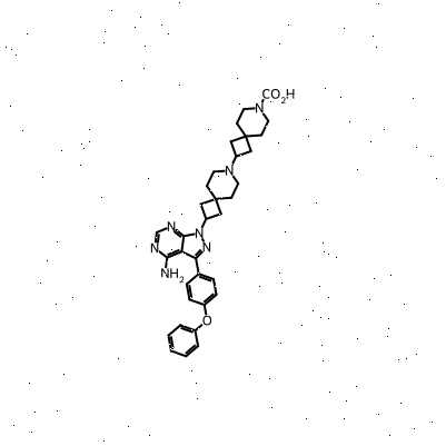 Nc1ncnc2c1c(-c1ccc(Oc3ccccc3)cc1)nn2C1CC2(CCN(C3CC4(CCN(C(=O)O)CC4)C3)CC2)C1